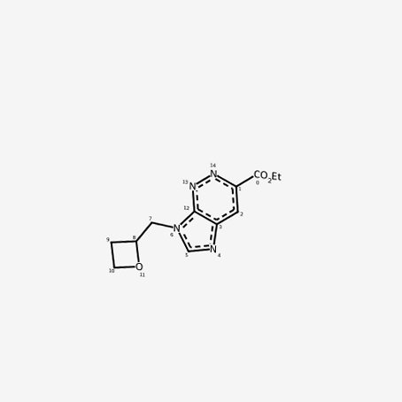 CCOC(=O)c1cc2ncn(CC3CCO3)c2nn1